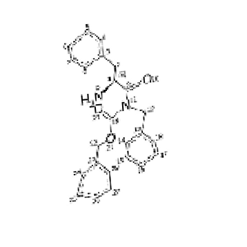 N[C@@H](Cc1ccccc1)C(=O)N([CH]c1ccccc1)C(=O)OCc1ccccc1